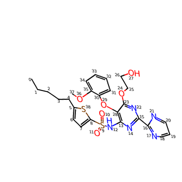 CCCCCc1ccc(S(=O)(=O)Nc2nc(-c3ncccn3)nc(OCCO)c2Oc2ccccc2OC)s1